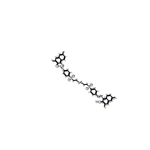 Cc1ccc2c(/N=N/c3ccc(S(=O)(=O)CCSSCCS(=O)(=O)c4ccc(/N=N/c5c(O)c(C)cc6cc(C)ccc56)cc4)cc3)c(O)c(C)cc2c1